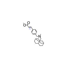 COC(=O)/C=C/c1ccc(CN(C)CC23CC4CCC2CCC(C4)C3)cc1